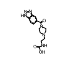 O=C(O)NCCN1CCN(C(=O)c2ccc3[nH]nnc3c2)CC1